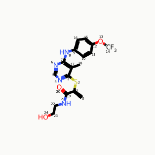 C=C(Sc1ncnc(Nc2ccc(OC(F)(F)F)cc2)c1C)C(=O)NCCO